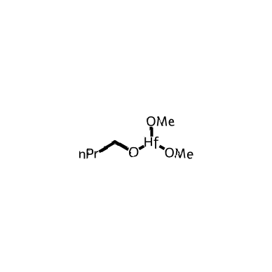 CCCC[O][Hf]([O]C)[O]C